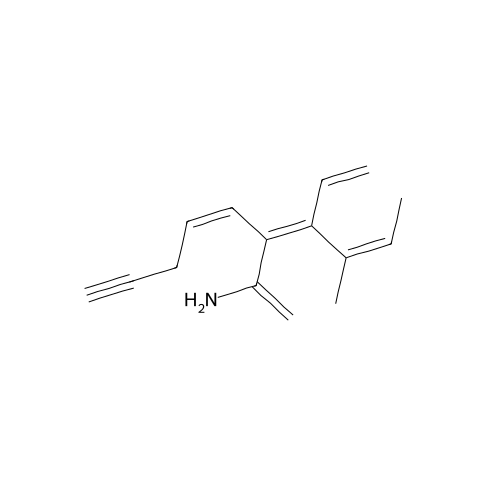 C#CC\C=C/C(C(=C)N)=C(C=C)/C(C)=C\C